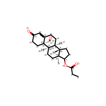 CCC(=O)OC1CC[C@H]2[C@@H]3CCC4=CC(=O)CC[C@]4(C=O)[C@@H]3CC[C@]12C